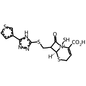 O=C(O)C1=CCS[C@H]2C(CSc3nnc(-c4ccsc4)[nH]3)C(=O)[N+]12S